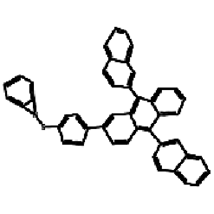 c1ccc2c(c1)N2Sc1ccc(-c2ccc3c(-c4ccc5ccccc5c4)c4ccccc4c(-c4ccc5ccccc5c4)c3c2)cc1